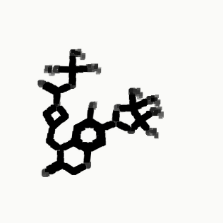 CC(C)(C)OC(=O)N1CC(CN2C(=O)COc3cc(B4OC(C)(C)C(C)(C)O4)c(Cl)cc32)C1